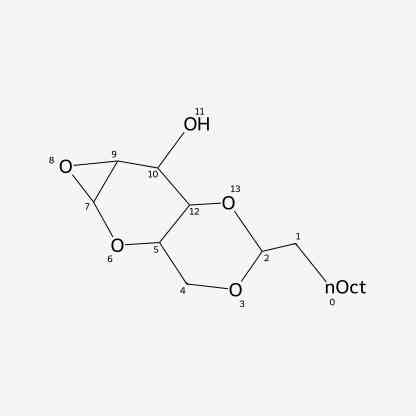 CCCCCCCCCC1OCC2OC3OC3C(O)C2O1